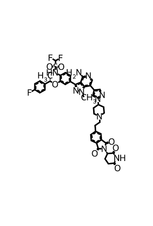 C[C@H](Oc1cc(-c2nn(C)c3c(-c4cnn(C5CCN(CCc6ccc7c(c6)C(=O)N(C6CCC(=O)NC6=O)C7=O)CC5)c4)cnc(N)c23)ccc1NS(=O)(=O)C(F)F)c1ccc(F)cc1